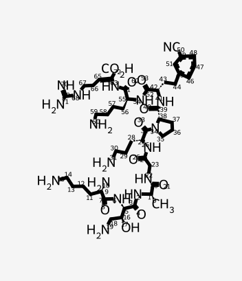 C[C@H](NC(=O)[C@@H](NC(=O)[C@@H](N)CCCCN)[C@@H](O)CN)C(=O)NCC(=O)N[C@H](CCCN)C(=O)N1CCC[C@H]1C(=O)N[C@@H](CCc1cccc(C#N)c1)C(=O)N[C@@H](CCCCN)C(=O)N/C(=C\CCNC(=N)N)C(=O)O